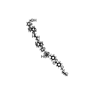 [N-]=[N+]=NCCOc1ccc(C(=O)Oc2ccc(CSP(=O)(O)OC[C@@H]3CC[C@H](n4cnc5c(NC/C=C/CNc6ncnc7c6ncn7[C@H]6CC[C@@H](CO)O6)ncnc54)O3)cc2)cc1